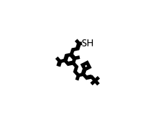 C=C(C)c1cc(C/C=C(\C)S)c(C)c(CCC(C)C(/C=C/C(C)(C)C)=C2CCC2)c1